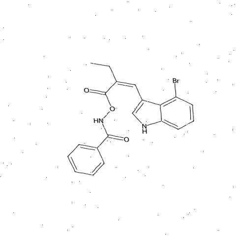 CCC(=Cc1c[nH]c2cccc(Br)c12)C(=O)ONC(=O)c1ccccc1